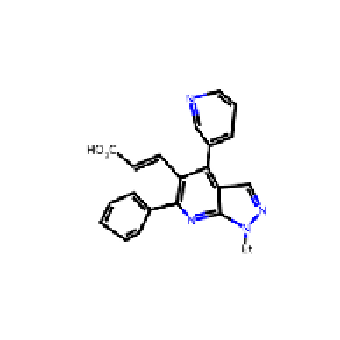 CCn1ncc2c(-c3cccnc3)c(/C=C/C(=O)O)c(-c3ccccc3)nc21